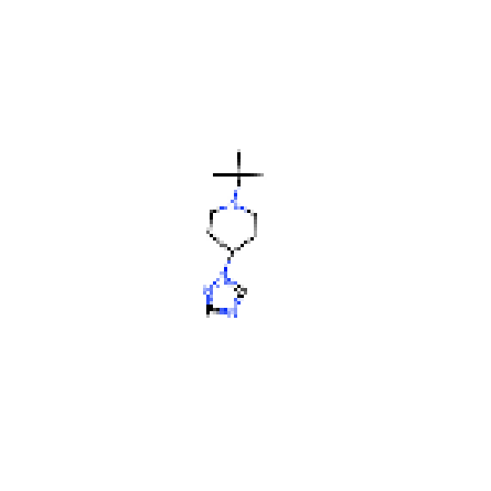 CC(C)(C)N1CCC(n2cncn2)CC1